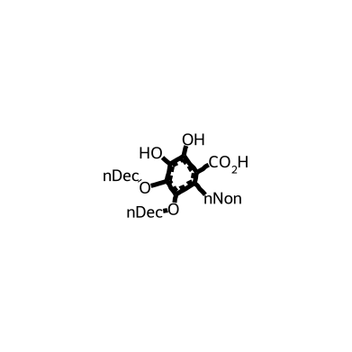 CCCCCCCCCCOc1c(O)c(O)c(C(=O)O)c(CCCCCCCCC)c1OCCCCCCCCCC